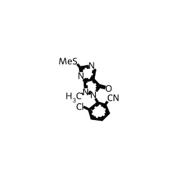 CSc1ncc2c(=O)n(-c3c(Cl)cccc3C#N)n(C)c2n1